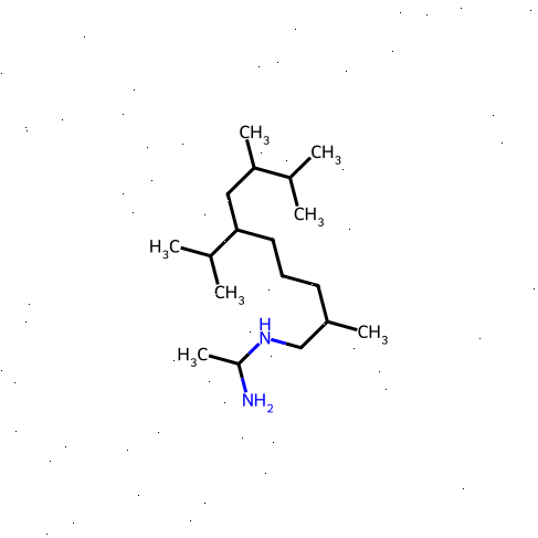 CC(CCCC(CC(C)C(C)C)C(C)C)CNC(C)N